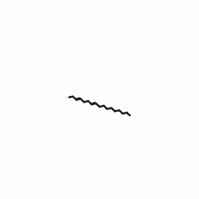 [CH2]CC=CCCC=CCCCCCCCCC